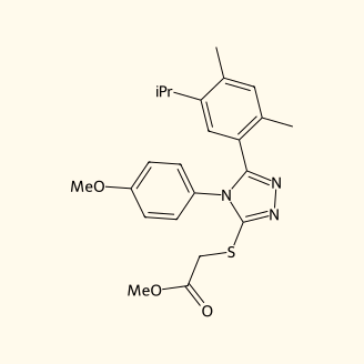 COC(=O)CSc1nnc(-c2cc(C(C)C)c(C)cc2C)n1-c1ccc(OC)cc1